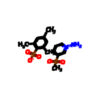 CS(=O)(=O)c1ccc[n+](N)c1.Cc1cc(C)c(S(=O)(=O)[O-])c(C)c1